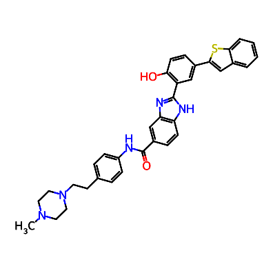 CN1CCN(CCc2ccc(NC(=O)c3ccc4[nH]c(-c5cc(-c6cc7ccccc7s6)ccc5O)nc4c3)cc2)CC1